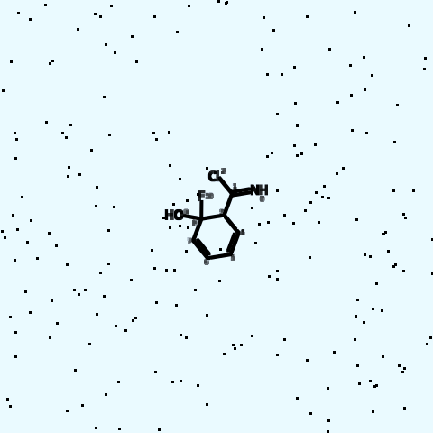 N=C(Cl)C1C=CC=CC1(O)F